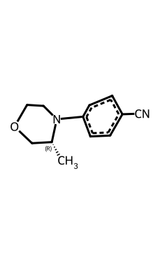 C[C@@H]1COCCN1c1ccc(C#N)cc1